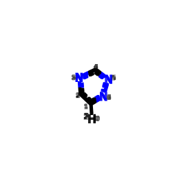 [2H]c1cncnn1